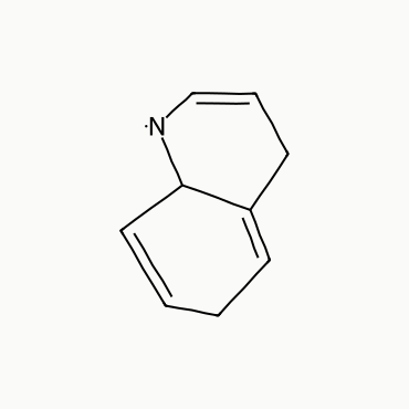 C1=CC2[N]C=CCC2=CC1